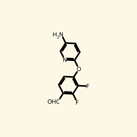 Nc1ccc(Oc2ccc(C=O)c(F)c2F)nc1